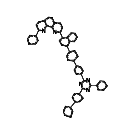 c1ccc(-c2ccc(-c3nc(-c4ccccc4)nc(-c4ccc(-c5ccc(-c6ccc(-c7ccc8ccc9ccc(-c%10ccccc%10)nc9c8n7)c7ccccc67)cc5)cc4)n3)cc2)cc1